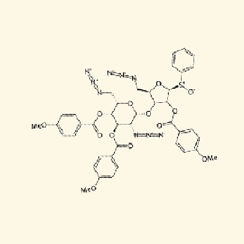 COc1ccc(C(=O)OC2C(O[C@H]3O[C@@H](CN=[N+]=[N-])[C@@H](OC(=O)c4ccc(OC)cc4)[C@H](OC(=O)c4ccc(OC)cc4)[C@H]3N=[N+]=[N-])[C@@H](CN=[N+]=[N-])O[C@H]2[S+]([O-])c2ccccc2)cc1